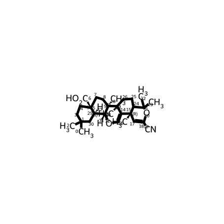 CC1(C)CC[C@]2(C(=O)O)CC[C@]3(C)[C@H](OC=C4[C@@]5(C)C=C(C#N)OC(C)(C)C5CC[C@]43C)[C@H]2C1